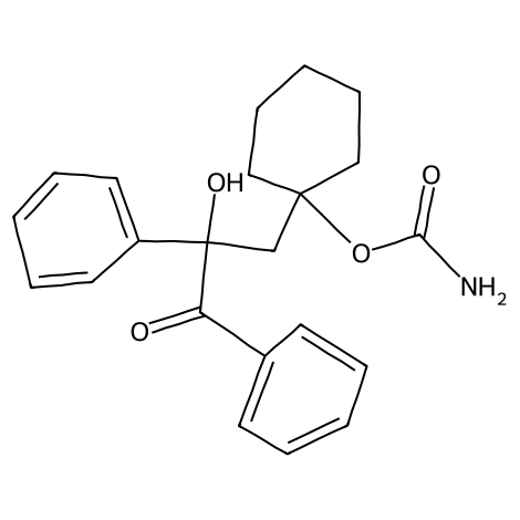 NC(=O)OC1(CC(O)(C(=O)c2ccccc2)c2ccccc2)CCCCC1